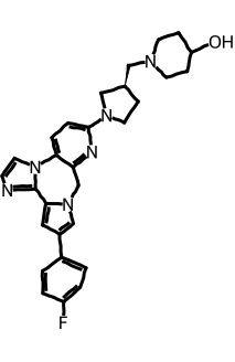 OC1CCN(C[C@H]2CCN(c3ccc4c(n3)Cn3cc(-c5ccc(F)cc5)cc3-c3nccn3-4)C2)CC1